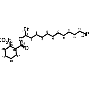 CCC(CCCCCCCCCCC(C)C)OC(=O)C1CCCCC1C(=O)O